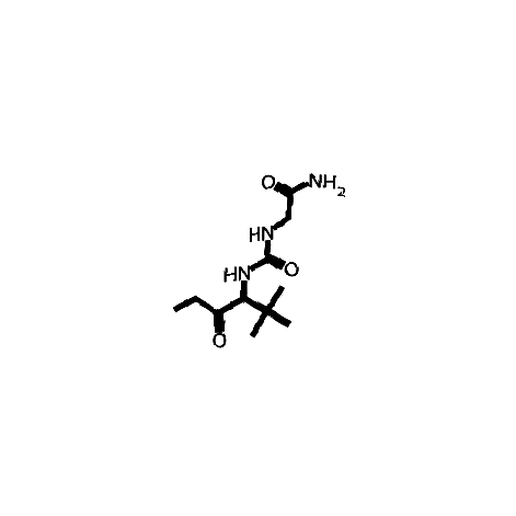 CCC(=O)C(NC(=O)NCC(N)=O)C(C)(C)C